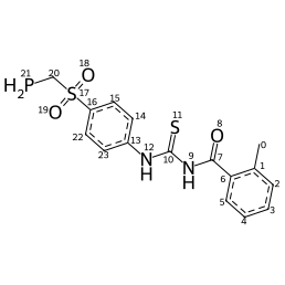 Cc1ccccc1C(=O)NC(=S)Nc1ccc(S(=O)(=O)CP)cc1